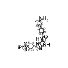 CC(C)S(=O)(=O)c1ccc(-c2cnc3[nH]cc(NC(=O)c4ccc(N5CC[C@@H](N)C5)cc4)c3n2)cc1